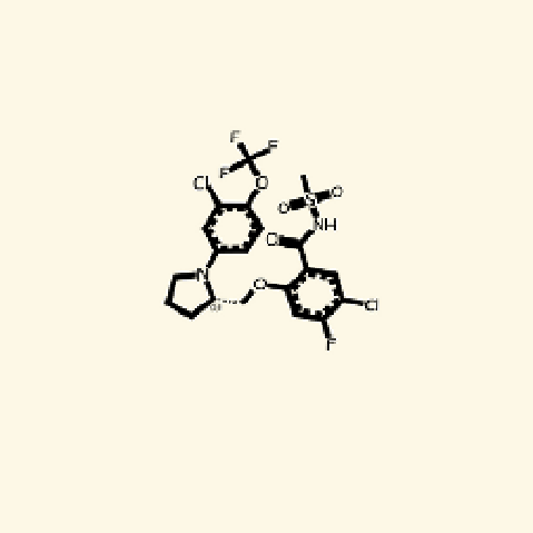 CS(=O)(=O)NC(=O)c1cc(Cl)c(F)cc1OC[C@@H]1CCCN1c1ccc(OC(F)(F)F)c(Cl)c1